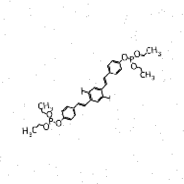 CCOP(OCC)Oc1ccc(/C=C/c2cc(I)c(/C=C/c3ccc(OP(OCC)OCC)cc3)cc2I)cc1